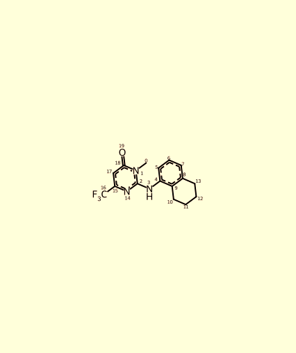 Cn1c(Nc2cccc3c2CCCC3)nc(C(F)(F)F)cc1=O